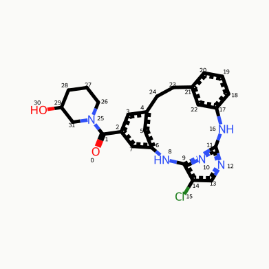 O=C(c1cc2cc(c1)Nc1nc(ncc1Cl)Nc1cccc(c1)CC2)N1CCCC(O)C1